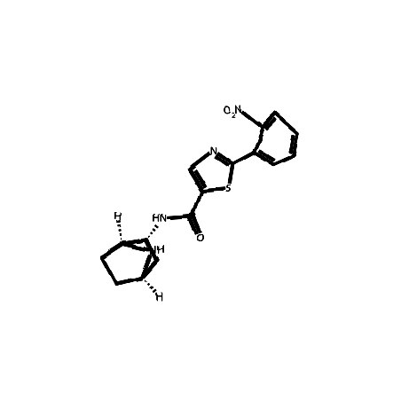 O=C(N[C@@H]1C[C@H]2CC[C@@H]1N2)c1cnc(-c2ccccc2[N+](=O)[O-])s1